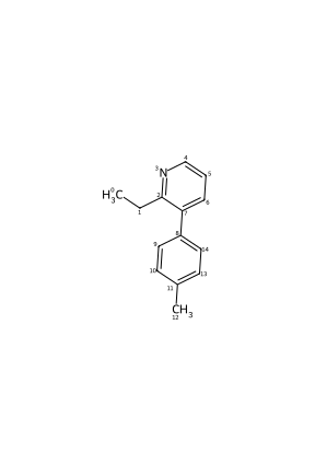 CCc1ncccc1-c1ccc(C)cc1